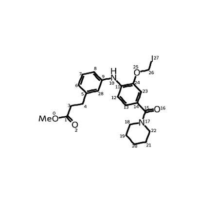 COC(=O)CCc1cccc(Nc2ccc(C(=O)N3CCCCC3)cc2OCI)c1